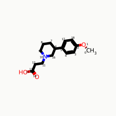 COc1ccc(C2CCCN(CCC(=O)O)C2)cc1